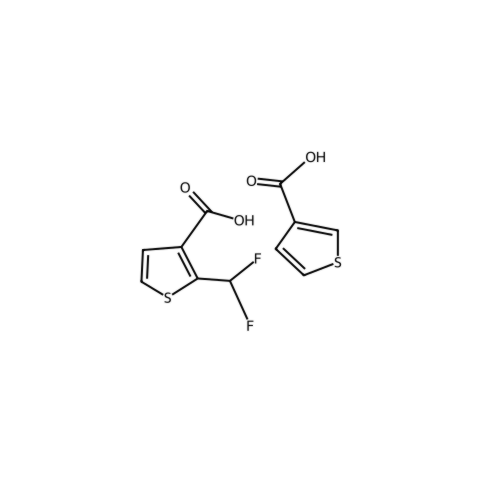 O=C(O)c1ccsc1.O=C(O)c1ccsc1C(F)F